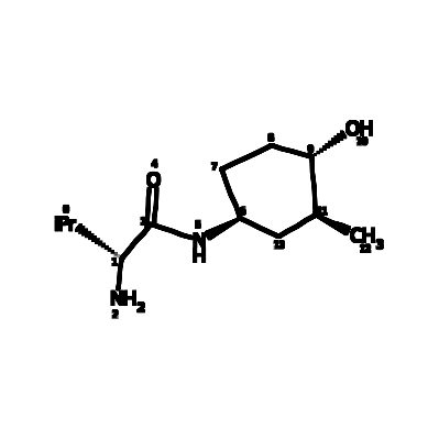 CC(C)[C@@H](N)C(=O)N[C@H]1CC[C@H](O)[C@@H](C)C1